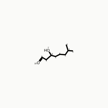 CC(C)CCCC(O)C[C]=O